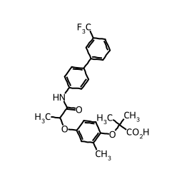 Cc1cc(OC(C)C(=O)Nc2ccc(-c3cccc(C(F)(F)F)c3)cc2)ccc1OC(C)(C)C(=O)O